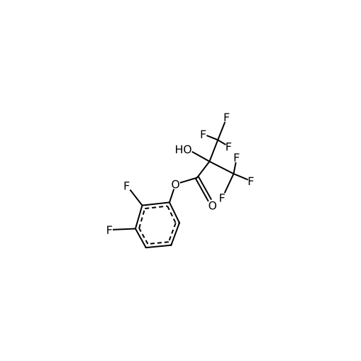 O=C(Oc1cccc(F)c1F)C(O)(C(F)(F)F)C(F)(F)F